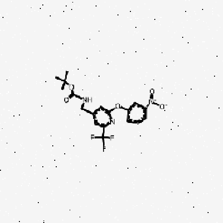 CC(C)(C)OC(=O)NCc1cc(Oc2cccc([N+](=O)[O-])c2)nc(C(F)(F)F)c1